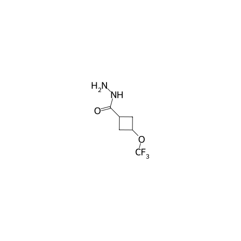 NNC(=O)C1CC(OC(F)(F)F)C1